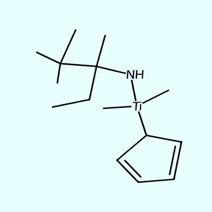 CCC(C)([NH][Ti]([CH3])([CH3])[CH]1C=CC=C1)C(C)(C)C